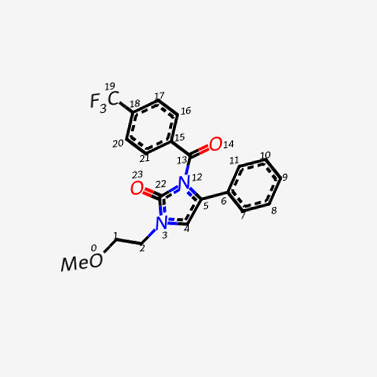 COCCn1cc(-c2ccccc2)n(C(=O)c2ccc(C(F)(F)F)cc2)c1=O